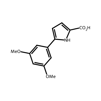 COc1cc(OC)cc(-c2ccc(C(=O)O)[nH]2)c1